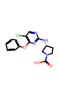 O=C(O)N1CC[C@@H](Nc2ncc(Cl)c(Oc3ccccc3)n2)C1